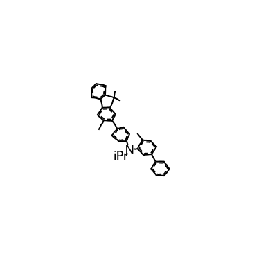 Cc1cc2c(cc1-c1ccc(N(c3cc(-c4ccccc4)ccc3C)C(C)C)cc1)C(C)(C)c1ccccc1-2